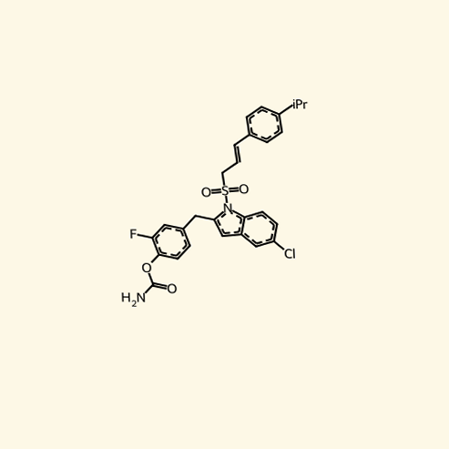 CC(C)c1ccc(C=CCS(=O)(=O)n2c(Cc3ccc(OC(N)=O)c(F)c3)cc3cc(Cl)ccc32)cc1